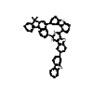 CC1(C)c2ccccc2-c2ccc(-c3ccc4oc5cccc(-c6nc(-c7ccccc7)nc7c6oc6ccc(-c8ccc9c(c8)oc8ccccc89)cc67)c5c4c3)cc21